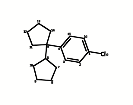 Clc1ccc(C2(C3C[CH]CC3)CCCC2)cc1